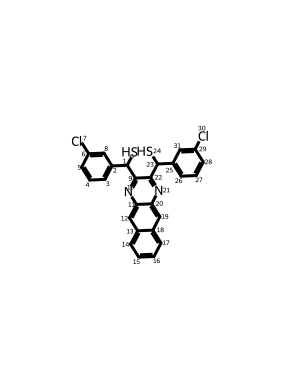 SC(c1cccc(Cl)c1)c1nc2cc3ccccc3cc2nc1C(S)c1cccc(Cl)c1